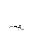 NNNCC=O